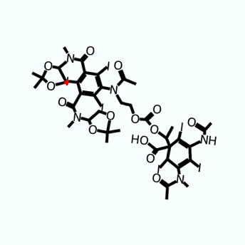 CC(=O)NC1=C(I)C(C(=O)O)(C(C)OC(=O)OCCN(C(C)=O)c2c(I)c(C(=O)N(C)C3COC(C)(C)O3)c(I)c(C(=O)N(C)C3COC(C)(C)O3)c2I)C(I)C(N(C)C(C)=O)=C1I